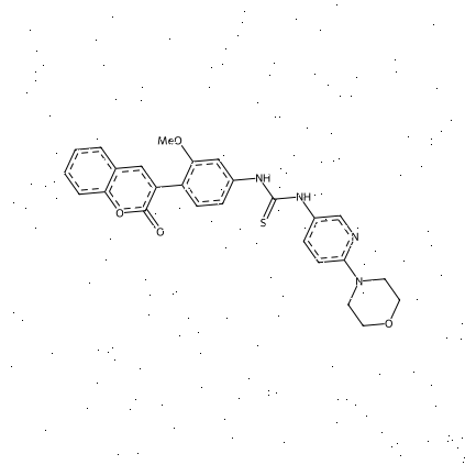 COc1cc(NC(=S)Nc2ccc(N3CCOCC3)nc2)ccc1-c1cc2ccccc2oc1=O